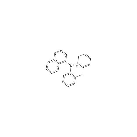 Cc1ccccc1N(c1cccc2ccccc12)[C@H]1C=CC=CC1